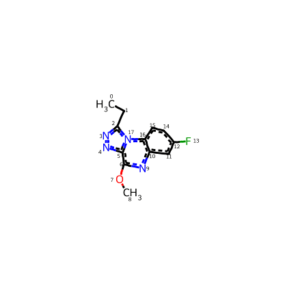 CCc1nnc2c(OC)nc3cc(F)ccc3n12